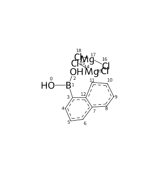 OB(O)c1cccc2ccccc12.[Cl][Mg][Cl].[Cl][Mg][Cl]